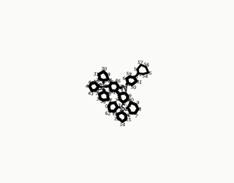 c1ccc([Si](c2ccccc2)(c2ccccc2)c2ccc3c(c2)c2cc([Si](c4ccccc4)(c4ccccc4)c4ccccc4)ccc2n3-c2ccc(C3CCCCC3)cc2)cc1